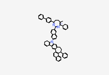 C/C1=C(C2C=CC=CC2)/N=C(c2ccc3cc(-n4c5c(c6cc7c(cc64)CCC(c4ccccc4)c4c-7ccc6ccccc46)C=CCC5)ccc3c2)\N=C(\c2ccc(-c3ccccc3)cc2)CC1